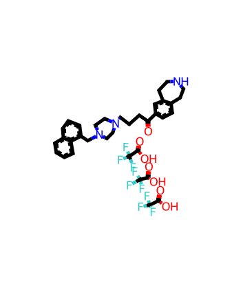 O=C(CCCN1CCN(Cc2cccc3ccccc23)CC1)c1ccc2c(c1)CCNCC2.O=C(O)C(F)(F)F.O=C(O)C(F)(F)F.O=C(O)C(F)(F)F